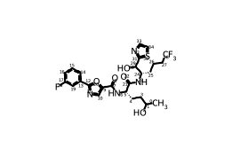 CC(O)CC[C@H](NC(=O)c1cnc(-c2cccc(F)c2)o1)C(=O)N[C@@H](CCCC(F)(F)F)C(O)c1nccs1